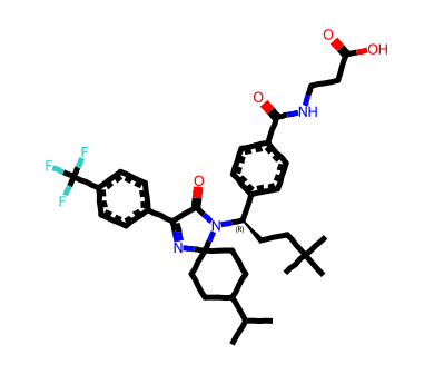 CC(C)C1CCC2(CC1)N=C(c1ccc(C(F)(F)F)cc1)C(=O)N2[C@H](CCC(C)(C)C)c1ccc(C(=O)NCCC(=O)O)cc1